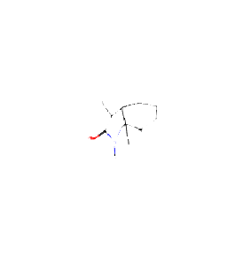 CC1C(=O)N(C)C2(C)CCCCC12